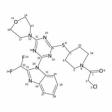 O=C(CCl)N1CCC(Sc2nc(N3CCOCC3)nc(-n3c(C(F)F)nc4ccccc43)n2)CC1